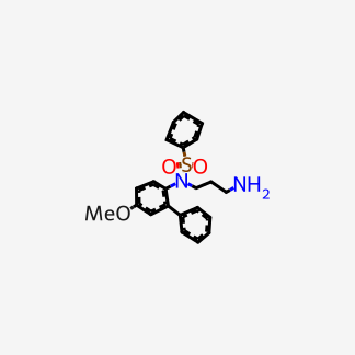 COc1ccc(N(CCCN)S(=O)(=O)c2ccccc2)c(-c2ccccc2)c1